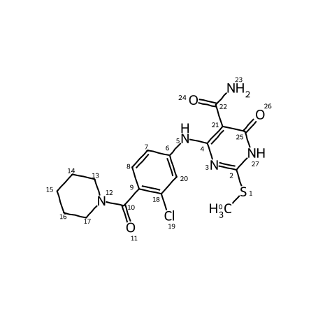 CSc1nc(Nc2ccc(C(=O)N3CCCCC3)c(Cl)c2)c(C(N)=O)c(=O)[nH]1